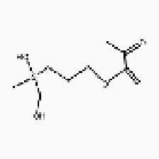 C=C(OCCC[Si](C)(O)CO)C(C)=O